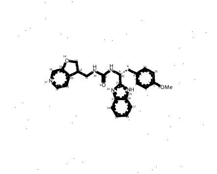 COc1ccc(C[C@@H](NC(=O)NCC2COc3cnccc32)c2nc3ccccc3[nH]2)cc1